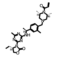 C=CC(=O)N1[C@H](C)CN(Cc2ccc([C@H](C)Nc3nc(C)nc(N4C(=O)OC[C@@H]4CC)n3)cc2C)C[C@@H]1C